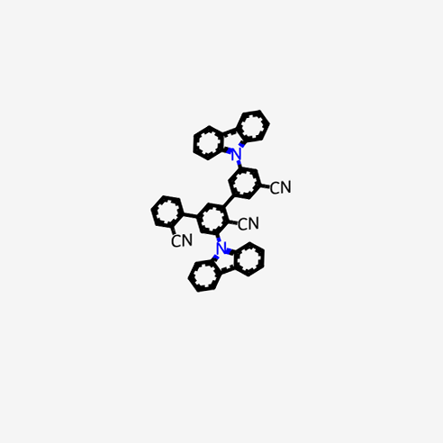 N#Cc1cc(-c2cc(-c3ccccc3C#N)cc(-n3c4ccccc4c4ccccc43)c2C#N)cc(-n2c3ccccc3c3ccccc32)c1